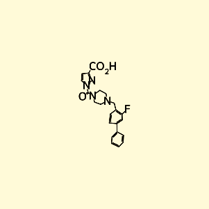 O=C(O)c1ccn(C(=O)N2CCN(Cc3ccc(-c4ccccc4)cc3F)CC2)n1